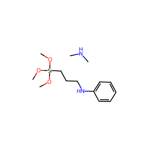 CNC.CO[Si](CCCNc1ccccc1)(OC)OC